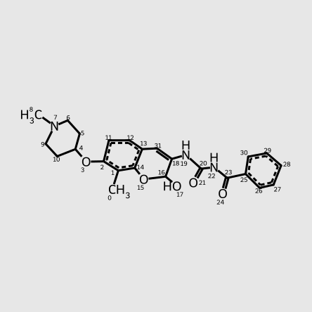 Cc1c(OC2CCN(C)CC2)ccc2c1OC(O)C(NC(=O)NC(=O)c1ccccc1)=C2